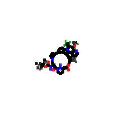 CO[C@@H](C)c1ncccc1-c1c2c3cc(ccc3n1CC(F)(F)F)C1CCN(C1)C[C@H](NC(=O)OC(C)(C)C)C(=O)N1CCC[C@H](N1)C(=O)OCC(C)(C)C2